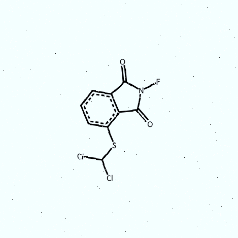 O=C1c2cccc(SC(Cl)Cl)c2C(=O)N1F